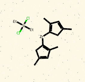 CC1=CC(C)=[C]([Zr][C]2=C(C)C=C(C)C2)C1.CC[Si](Cl)(Cl)CC